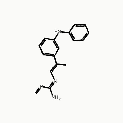 C=N/C(N)=N\C=C(/C)c1cccc(Nc2ccccc2)c1